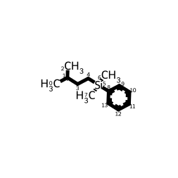 C[C](C)CC[Si](C)(C)c1ccccc1